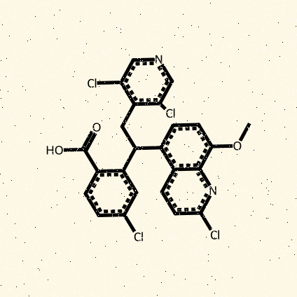 COc1ccc(C(Cc2c(Cl)cncc2Cl)c2cc(Cl)ccc2C(=O)O)c2ccc(Cl)nc12